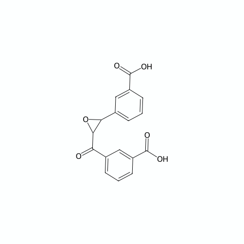 O=C(O)c1cccc(C(=O)C2OC2c2cccc(C(=O)O)c2)c1